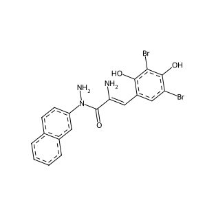 NC(=Cc1cc(Br)c(O)c(Br)c1O)C(=O)N(N)c1ccc2ccccc2c1